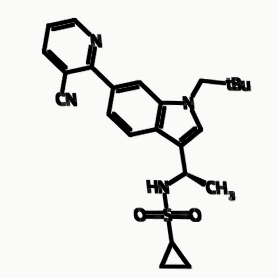 C[C@@H](NS(=O)(=O)C1CC1)c1cn(CC(C)(C)C)c2cc(-c3ncccc3C#N)ccc12